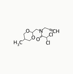 C#CCN(CC1OCC(C)CO1)C(=O)C(Cl)Cl